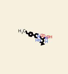 CCCc1ccc(C2=CCN(C(=O)C3NCC4(CC4)CC3C(=O)NO)CC2)cc1